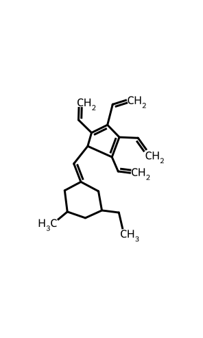 C=CC1=C(C=C)C(C=C2CC(C)CC(CC)C2)C(C=C)=C1C=C